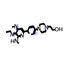 C/C=C(\C=C/C(C)C1=CC(=N/C)/C(=N\CC)C(NC)=N1)N1CCN(CCO)CC1